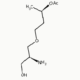 CC(=O)O[C@H](C)CCOC[C@@H](N)CO